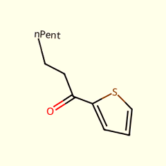 CCCCCCCC(=O)c1cccs1